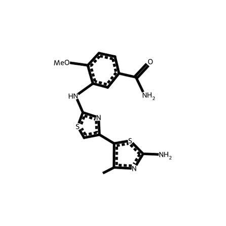 COc1ccc(C(N)=O)cc1Nc1nc(-c2sc(N)nc2C)cs1